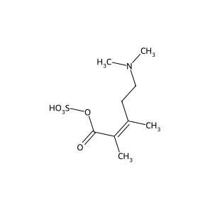 CC(CCN(C)C)=C(C)C(=O)OS(=O)(=O)O